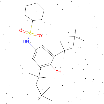 CC(C)(C)CC(C)(C)c1cc(NS(=O)(=O)C2CCCCC2)cc(C(C)(C)CC(C)(C)C)c1O